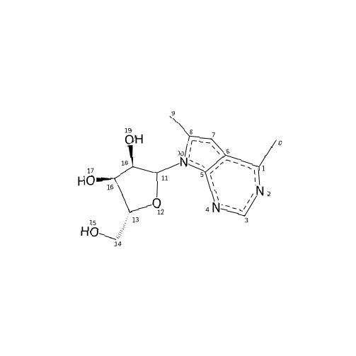 Cc1ncnc2c1cc(C)n2C1O[C@H](CO)[C@@H](O)[C@H]1O